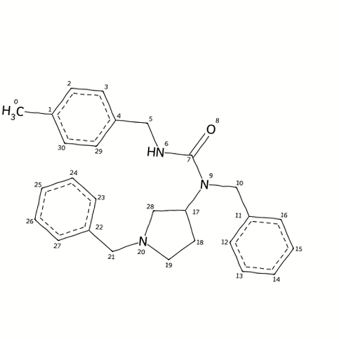 Cc1ccc(CNC(=O)N(Cc2ccccc2)C2CCN(Cc3ccccc3)C2)cc1